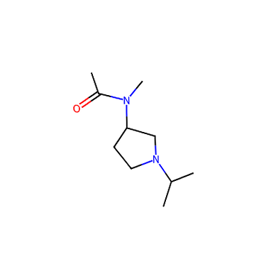 CC(=O)N(C)C1CCN(C(C)C)C1